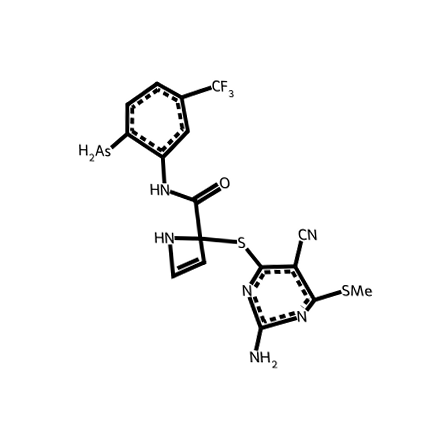 CSc1nc(N)nc(SC2(C(=O)Nc3cc(C(F)(F)F)ccc3[AsH2])C=CN2)c1C#N